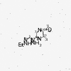 CCN/N=C\N(N)c1cnc([C@@H]2CO2)c(C)n1